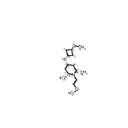 COCCN1[C@H](C)C[C@H](O[C@H]2C[C@H](OC)C2)C[C@@H]1C